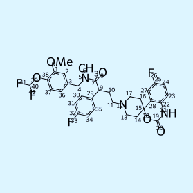 COc1cc(CN(C)C(=O)C(CCN2CCC3(CC2)OC(=O)Nc2ccc(F)cc23)c2ccc(F)cc2)ccc1OC(F)F